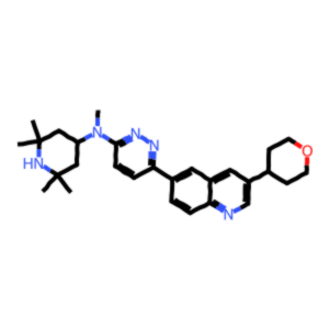 CN(c1ccc(-c2ccc3ncc(C4CCOCC4)cc3c2)nn1)C1CC(C)(C)NC(C)(C)C1